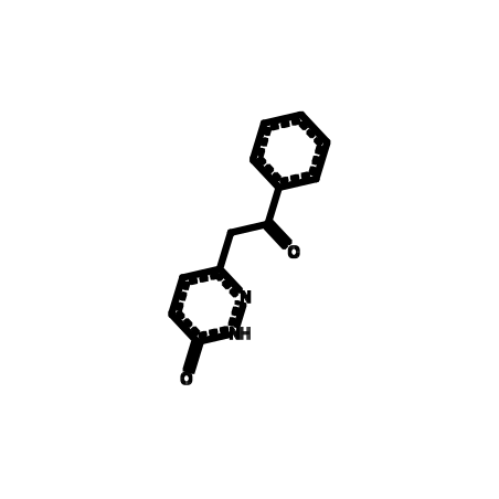 O=C(Cc1ccc(=O)[nH]n1)c1ccccc1